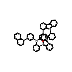 c1ccc(-n2c3ccccc3c3cccc(-c4cccc(N(c5cccc(-c6cccc7ccccc67)c5)c5ccccc5-n5c6ccccc6c6ccccc65)c4)c32)cc1